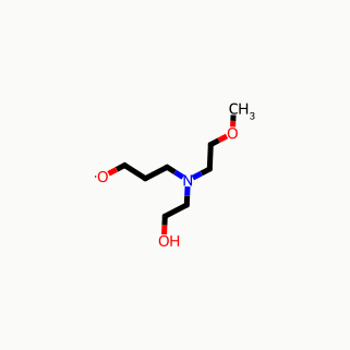 COCCN(CCO)CCC[O]